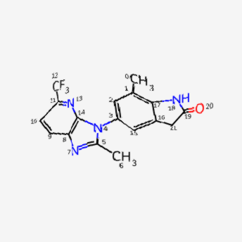 Cc1cc(-n2c(C)nc3ccc(C(F)(F)F)nc32)cc2c1NC(=O)C2